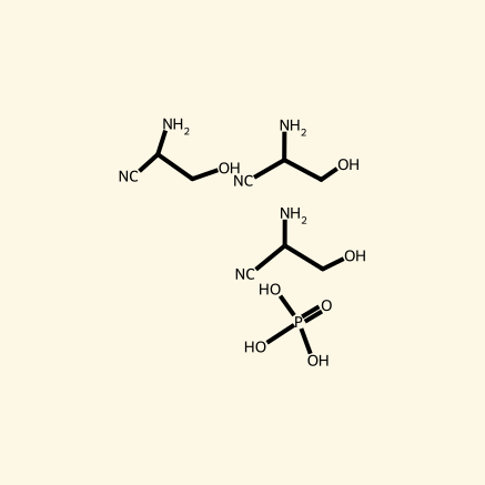 N#CC(N)CO.N#CC(N)CO.N#CC(N)CO.O=P(O)(O)O